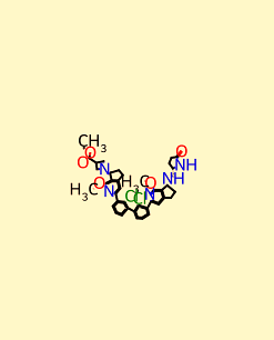 CCOC(=O)C1CN(C2CCc3cc(-c4cccc(-c5cccc(-c6cc7c(c(OC)n6)[C@@H](NC[C@@H]6CCC(=O)N6)CC7)c5Cl)c4Cl)nc(OC)c32)C1